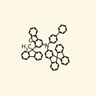 CC1(c2cc(N(c3ccc(-c4ccccc4)cc3)c3ccc4c(c3)C3(c5ccccc5-c5ccccc53)c3ccccc3-4)cc3c2oc2ccccc23)c2ccccc2-c2ccccc21